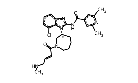 CNCC=CC(=O)N1CCCC[C@@H](n2c(NC(=O)c3cc(C)nc(C)c3)nc3cccc(Cl)c32)C1